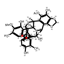 COc1c(C)cc2c(c1O)[C@@H]1[C@@H]3[C@@H]4SC[C@]5(NCCc6cc(O)c(C)cc65)C(=O)OCC(c5c6c(c(C)c(OC(C)=O)c54)OCO6)N3[C@@H](O)C(C2)N1C